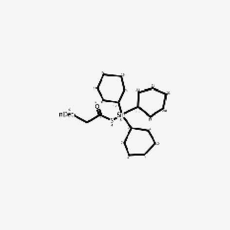 CCCCCCCCCCCC(=O)[S][Sn]([CH]1CCCCC1)([CH]1CCCCC1)[CH]1CCCCC1